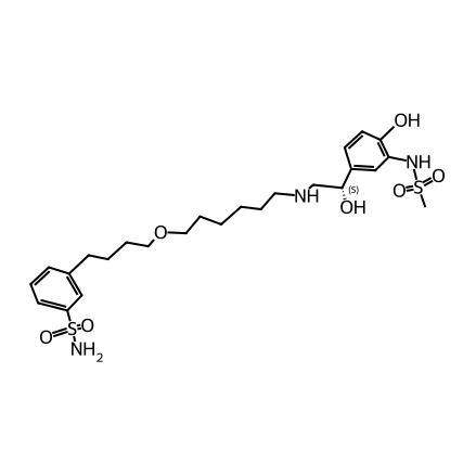 CS(=O)(=O)Nc1cc([C@H](O)CNCCCCCCOCCCCc2cccc(S(N)(=O)=O)c2)ccc1O